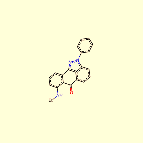 CCNc1cccc2c1C(=O)c1cccc3c1c-2nn3-c1ccccc1